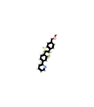 COCc1ccc2c(c1)sc1c3ccc(-c4ccccn4)cc3sc21